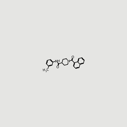 Cc1cccc(NC(=O)C2CCN(C(=O)c3cccc4ccccc34)CC2)c1